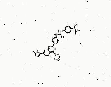 Cc1ccc(-c2ccc3c(N4CCOCC4)nc(-c4ccc(NC(=O)Nc5ccc(C(=O)N(C)C)cc5)nc4)nc3c2)o1